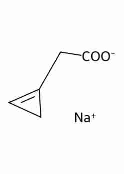 O=C([O-])CC1=CC1.[Na+]